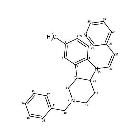 Cc1ccc2c(c1)C1CN(Cc3ccccc3)CCC1N2/C=C\c1cccnc1